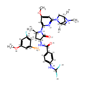 COc1cc(N2C[C@@H]3C[C@H]2CN3C)nc(N2C(=O)[C@@H](NC(=O)c3ccc(NC(F)F)cc3)[C@H](c3c(F)cc(OC)cc3P)[C@H]2C)c1